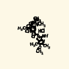 CCOc1c(C)nc2c(c1C)CN(CC(=O)c1cc(N(C)S(C)(=O)=O)c(O)c(C(C)(C)C)c1)C2=N.Cl